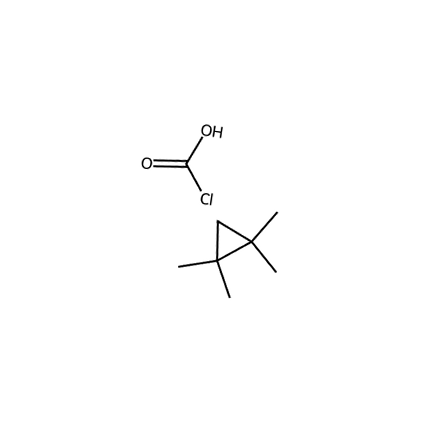 CC1(C)CC1(C)C.O=C(O)Cl